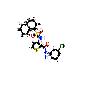 O=C(Nc1cccc(Cl)c1)c1sccc1NS(=O)(=O)c1cccc2ccccc12